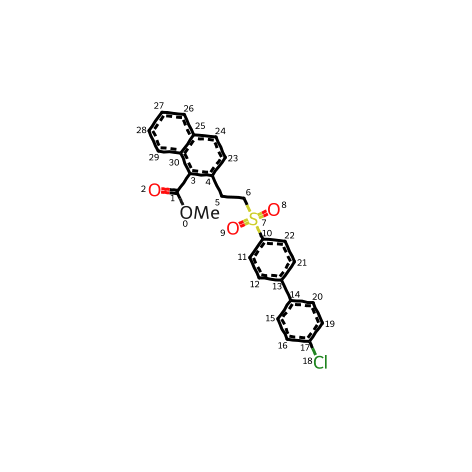 COC(=O)c1c(CCS(=O)(=O)c2ccc(-c3ccc(Cl)cc3)cc2)ccc2ccccc12